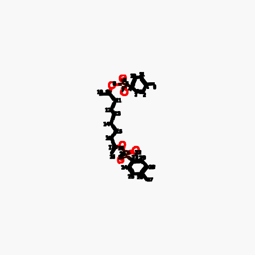 Cc1ccc(S(=O)(=O)OC(C)CCCCCCC(C)OS(=O)(=O)c2ccc(C)cc2)cc1